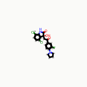 O=C(C[C@@]1(O)C(=O)Nc2c(Cl)ccc(Cl)c21)c1ccc(N2CCCC2)c(F)c1